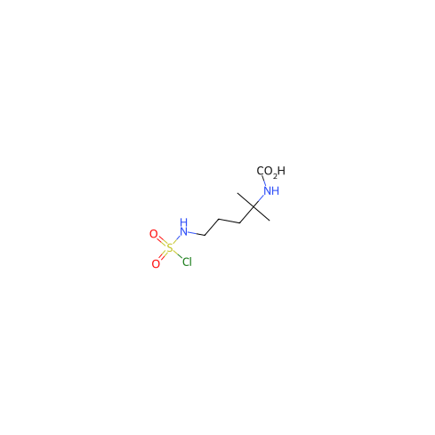 CC(C)(CCCNS(=O)(=O)Cl)NC(=O)O